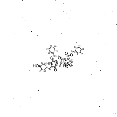 CC1(C)[C@H](C(=O)OCc2ccccc2)N2C(=O)[C@H](COC(=O)C(Cc3ccc(O)cc3)NC(=O)OCc3ccccc3)[C@H]2S1(=O)=O